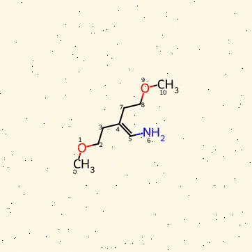 COCCC(=CN)CCOC